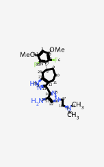 COc1cc(OC)c(F)c([C@@H]2CCCc3c(-c4nn(CCN(C)C)cc4N)n[nH]c3C2)c1F